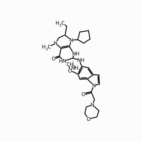 CCC1CN(C)C2=C(N[C@@](N)(Nc3cc4ccn(C(=O)CN5CCOCC5)c4cc3OC)NC2=O)N1C1CCCC1